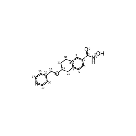 O=C(NO)c1ccc2c(c1)CCC(OCc1ccncc1)C2